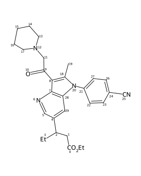 CCOC(=O)CC(CC)c1cnc2c(C(=O)CN3CCCCC3)c(C)n(-c3ccc(C#N)cc3)c2c1